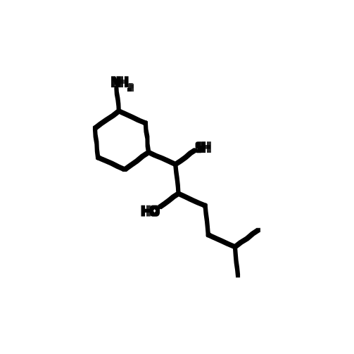 CC(C)CCC(O)C(S)C1CCCC(N)C1